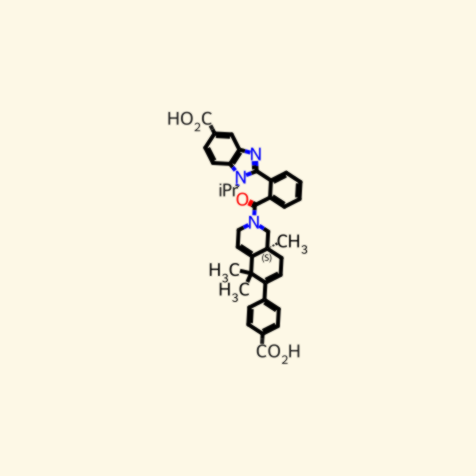 CC(C)n1c(-c2ccccc2C(=O)N2CC=C3C(C)(C)C(c4ccc(C(=O)O)cc4)=CC[C@]3(C)C2)nc2cc(C(=O)O)ccc21